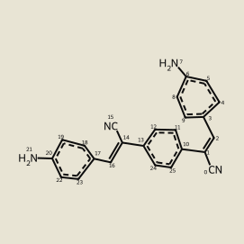 N#CC(=Cc1ccc(N)cc1)c1ccc(C(C#N)=Cc2ccc(N)cc2)cc1